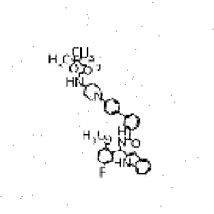 COc1ccc(F)cc1[C@@H](NC(=O)c1cccc(-c2ccc(N3CCC(NC(=O)OC(C)(C)C)CC3)cc2)c1)c1cc2ccccc2[nH]1